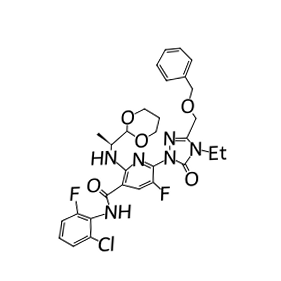 CCn1c(COCc2ccccc2)nn(-c2nc(N[C@@H](C)C3OCCCO3)c(C(=O)Nc3c(F)cccc3Cl)cc2F)c1=O